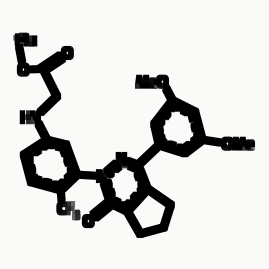 COc1cc(OC)cc(-c2nn(-c3cc(NCC(=O)OC(C)(C)C)ccc3C(F)(F)F)c(=O)c3c2CCC3)c1